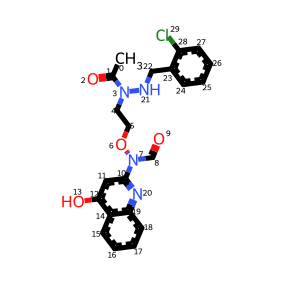 CC(=O)N(CCON(C=O)c1cc(O)c2ccccc2n1)NCc1ccccc1Cl